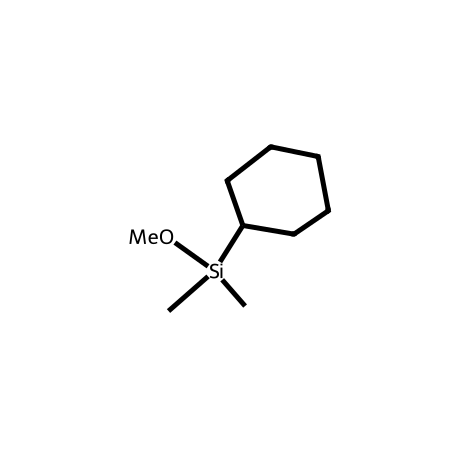 CO[Si](C)(C)C1CCCCC1